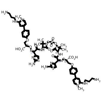 C[n+]1ccc(-c2ccc(OC[C@H](O/N=C(\C(=O)N[C@@H]3C(=O)N(OS(=O)(=O)ON4C(=O)[C@@H](NC(=O)/C(=N\O[C@@H](COc5ccc(-c6cc[n+](C)c(NCCCN)c6)cc5)C(=O)O)c5csc(N)n5)C4(C)C)C3(C)C)c3csc(N)n3)C(=O)O)cc2)cc1NCCCN